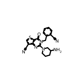 N#Cc1ccccc1Cn1c(N2CCCC(N)C2)nc2c(C#N)csc2c1=O